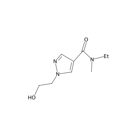 CCN(C)C(=O)c1cnn(CCO)c1